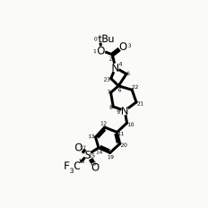 CC(C)(C)OC(=O)N1CC2(CCN(Cc3ccc(S(=O)(=O)C(F)(F)F)cc3)CC2)C1